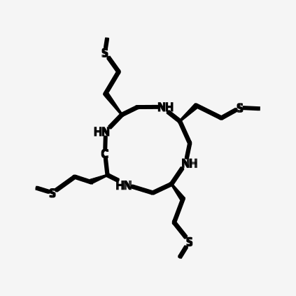 CSCC[C@H]1CN[C@@H](CCSC)CN[C@@H](CCSC)CN[C@@H](CCSC)CN1